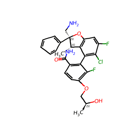 C[C@H](O)COc1ccc(C(N)=O)c(-c2c(Cl)c(F)cc3c2[C@H](C)[C@@](CN)(c2ccccc2)O3)c1F